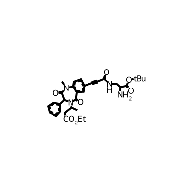 CCOC(=O)CC(C)N1C(=O)c2cc(C#CC(=O)NCC(N)C(=O)OC(C)(C)C)ccc2N(C)C(=O)C1c1ccccc1